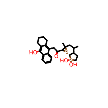 CC(CC1(C)SC1C(=O)Cc1c2c(c(O)c3ccccc13)CCCC2)C1CCS(O)(O)C1